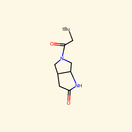 CC(C)(C)CC(=O)N1CC2CC(=O)NC2C1